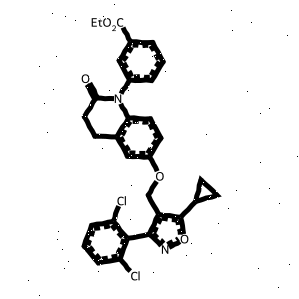 CCOC(=O)c1cccc(N2C(=O)CCc3cc(OCc4c(-c5c(Cl)cccc5Cl)noc4C4CC4)ccc32)c1